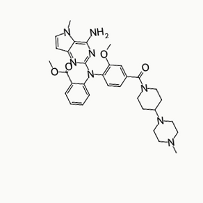 COC(=O)c1ccccc1N(c1nc(N)c2c(ccn2C)n1)c1ccc(C(=O)N2CCC(N3CCN(C)CC3)CC2)cc1OC